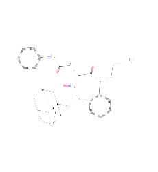 COCCC1C(=O)C(NC(=O)Nc2ccccc2)[N+](=O)N(CC23CC4CC(CC(C4)C2)C3)c2ccccc21